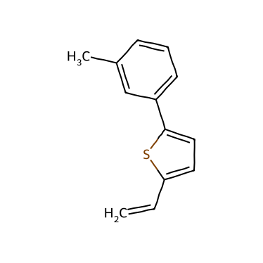 C=Cc1ccc(-c2cccc(C)c2)s1